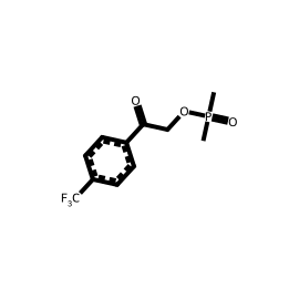 CP(C)(=O)OCC(=O)c1ccc(C(F)(F)F)cc1